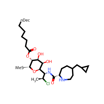 CCCCCCCCCCCCCCCC(=O)O[C@@H]1[C@@H](O)[C@@H](O)[C@@H]([C@H](NC(=O)[C@@H]2CCC(CC3CC3)CCN2)[C@H](C)Cl)O[C@@H]1SC